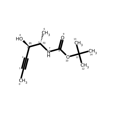 CC#C[C@@H](O)[C@H](C)NC(=O)OC(C)(C)C